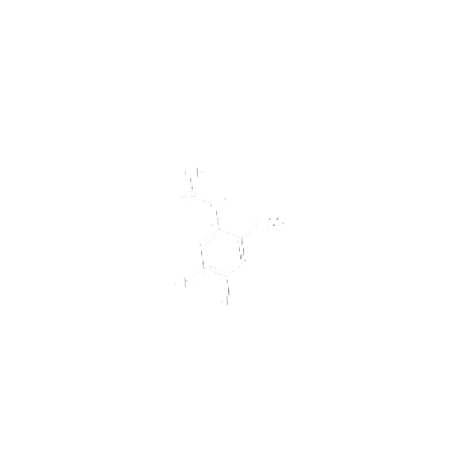 COc1cc(F)c(Cl)cc1OBO